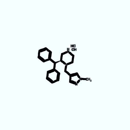 Cl.Cl.Cn1cc(CN2CCNC[C@H]2C(c2ccccc2)c2ccccc2)cn1